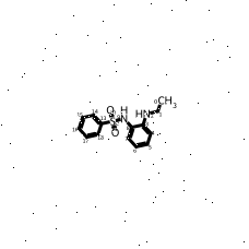 CCNc1ccccc1NS(=O)(=O)c1ccccc1